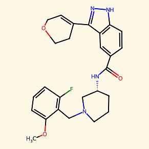 COc1cccc(F)c1CN1CCC[C@@H](NC(=O)c2ccc3[nH]nc(C4=CCOCC4)c3c2)C1